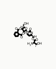 C[C@@H](O)C(N)C(=O)ONc1ccn([C@@H]2O[C@H](CO)[C@H]3OC(=O)c4ccccc4C(=O)O[C@H]32)c(=O)n1